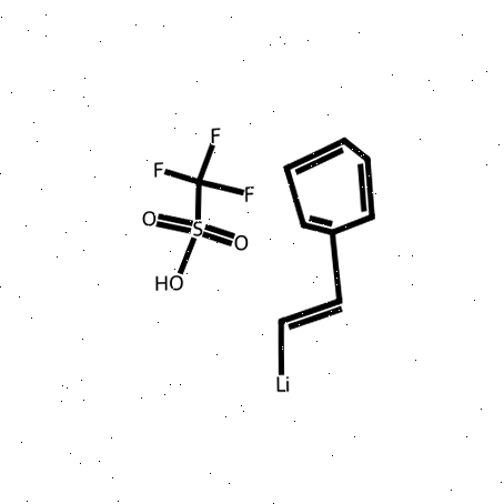 O=S(=O)(O)C(F)(F)F.[Li][CH]=Cc1ccccc1